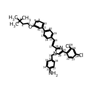 CC(C)(C)CCOc1cccc(-c2ccc(C=Cc3nc(-c4ccc(Cl)cc4Cl)cn3Cc3ccc(N)cc3)cc2)c1